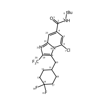 CC(C)(C)NC(=O)c1cc(Cl)n2c(CC3CCC(F)(F)CC3)c(C(F)(F)F)nc2c1